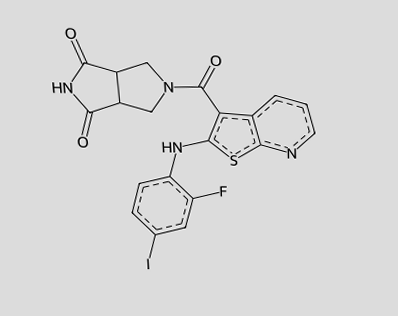 O=C1NC(=O)C2CN(C(=O)c3c(Nc4ccc(I)cc4F)sc4ncccc34)CC12